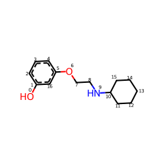 Oc1cccc(OCCNC2CCCCC2)c1